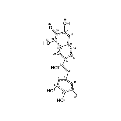 N#C/C(=C\c1cc(O)c(O)c(I)c1)c1ncc2cc(O)c(=O)c(O)c-2s1